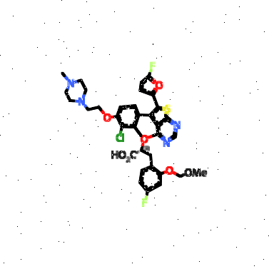 COCOc1cc(F)ccc1C[C@@H](Oc1ncnc2sc(-c3ccc(F)o3)c(-c3ccc(OCCN4CCN(C)CC4)c(Cl)c3C)c12)C(=O)O